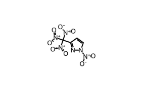 O=[N+]([O-])n1ccc(C([N+](=O)[O-])([N+](=O)[O-])[N+](=O)[O-])n1